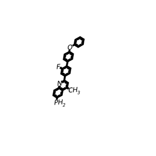 Cc1cc(-c2ccc(-c3ccc(Oc4ccccc4)cc3)c(F)c2)nc2ccc(P)cc12